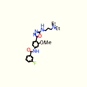 CCN(CC)CCCNc1nnc(-c2ccc(NC(=O)c3cccc(F)c3)cc2OC)o1